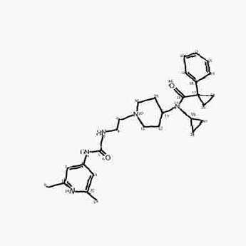 Cc1cc(NC(=O)NCCN2CCC(N(C(=O)C3(c4ccccc4)CC3)C3CC3)CC2)cc(C)n1